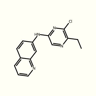 CCc1ncc(Nc2ccc3cccnc3c2)nc1Cl